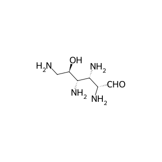 NC[C@@H](O)[C@@H](N)[C@H](N)[C@@H](N)C=O